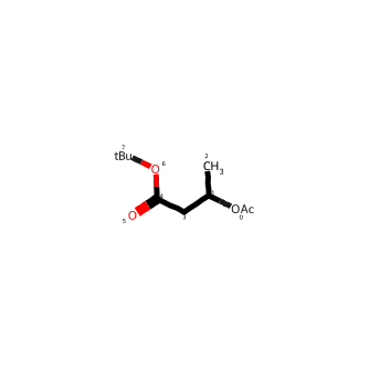 CC(=O)OC(C)CC(=O)OC(C)(C)C